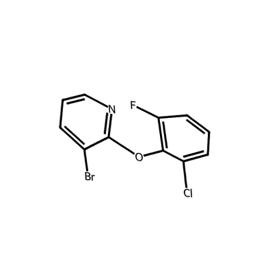 Fc1cccc(Cl)c1Oc1ncccc1Br